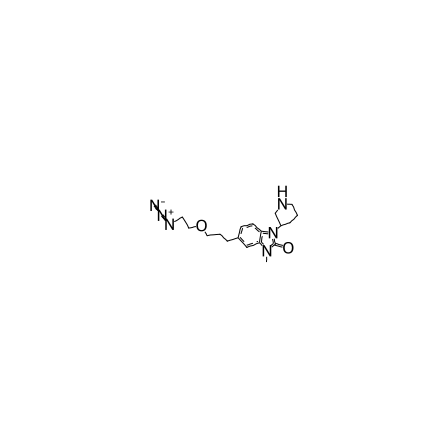 Cn1c(=O)n(C2CCCNC2)c2ccc(CCCOCCN=[N+]=[N-])cc21